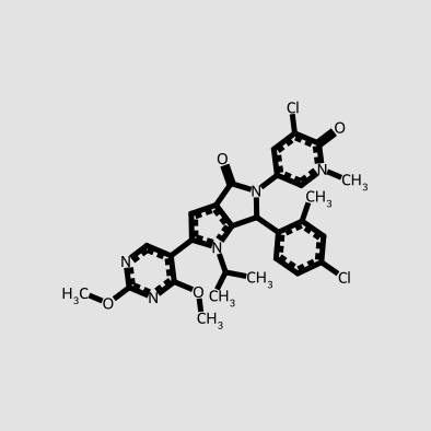 COc1ncc(-c2cc3c(n2C(C)C)C(c2ccc(Cl)cc2C)N(c2cc(Cl)c(=O)n(C)c2)C3=O)c(OC)n1